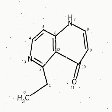 CCc1nccc2[nH]ccc(=O)c12